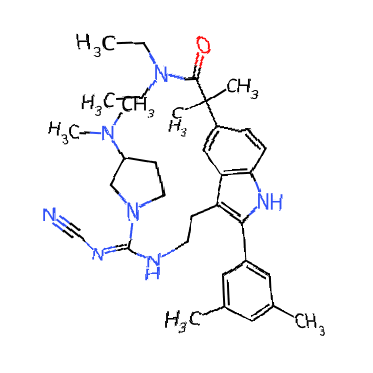 CCN(CC)C(=O)C(C)(C)c1ccc2[nH]c(-c3cc(C)cc(C)c3)c(CCN/C(=N/C#N)N3CCC(N(C)C)C3)c2c1